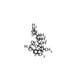 Cc1nc(C(OC2COC2C)[C@@H](O)CN(N)/C=C(\N)c2csc(N)n2)n(-c2cc(Cl)ccc2C(F)(F)F)n1